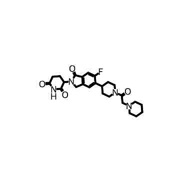 O=C1CCC(N2Cc3cc(C4CCN(C(=O)CN5CCCCC5)CC4)c(F)cc3C2=O)C(=O)N1